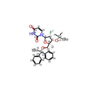 CC(C)(C)[Si](C)(C)O[C@H]1[C@@H](F)C(n2ccc(=O)[nH]c2=O)O[C@]1(C)CO[Si](c1ccccc1)(c1ccccc1)C(C)(C)C